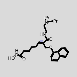 CC(C)N(CCNC(=O)/C(=C/CCCCC(=O)NO)COc1cccc2ccccc12)C(C)C